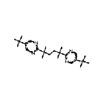 CC(C)(C)c1cnc(C(C)(C)CCC(C)(C)c2ncc(C(C)(C)C)cn2)nc1